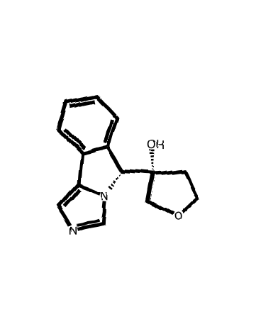 O[C@]1([C@H]2c3ccccc3-c3cncn32)CCOC1